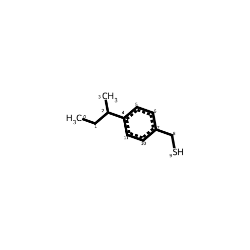 CCC(C)c1ccc(CS)cc1